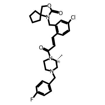 C[C@@H]1CN(Cc2ccc(F)cc2)CCN1C(=O)C=Cc1ccc(Cl)cc1CN1C(=O)OCC12CCCC2